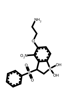 NCCOc1ccc2c(c1[N+](=O)[O-])C(S(=O)(=O)c1ccccc1)CS2(O)O